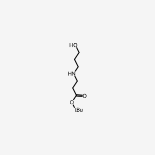 CC(C)(C)OC(=O)CCNCCCO